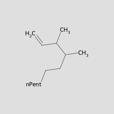 C=CC(C)C(C)CCCCCCC